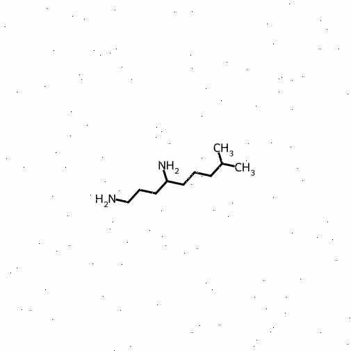 CC(C)CCCC(N)CCCN